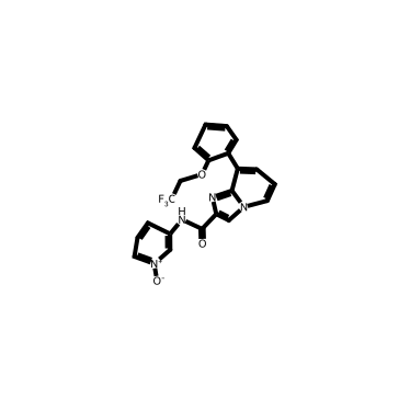 O=C(Nc1ccc[n+]([O-])c1)c1cn2cccc(-c3ccccc3OCC(F)(F)F)c2n1